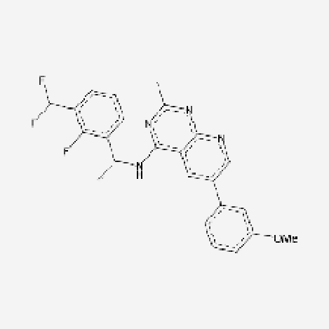 COc1cccc(-c2cnc3nc(C)nc(N[C@H](C)c4cccc(C(F)F)c4F)c3c2)c1